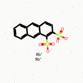 O=S(=O)([O-])c1ccc2cc3ccccc3cc2c1S(=O)(=O)[O-].[Rb+].[Rb+]